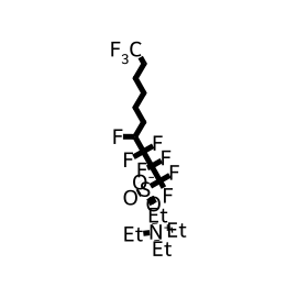 CC[N+](CC)(CC)CC.O=S(=O)([O-])C(F)(F)C(F)(F)C(F)(F)C(F)CCCCCC(F)(F)F